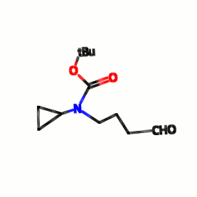 CC(C)(C)OC(=O)N(CCCC=O)C1CC1